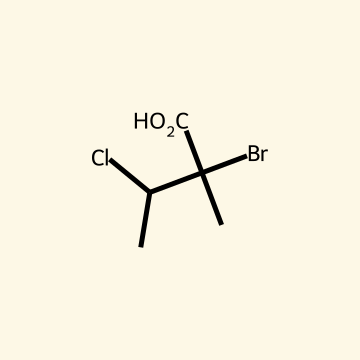 CC(Cl)C(C)(Br)C(=O)O